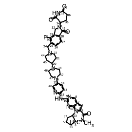 CN(C)C(=O)c1cc2cnc(Nc3ccc(N4CCN(C5CCN(Cc6ccc7c(c6F)CN(C6CCC(=O)NC6=O)C7=O)CC5)CC4)cn3)nc2n1C1CCCC1